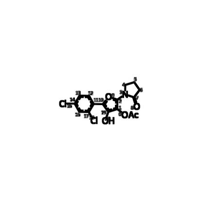 CC(=O)Oc1c(N2CCCC2=O)oc(-c2ccc(Cl)cc2Cl)c1O